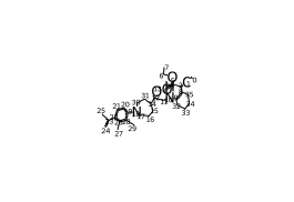 C=C=C(C(=O)OCC)C1=C(NCC(=O)C2CCCN(c3ccc(C(=C)C)c(C)c3C)CC2)CCCC1